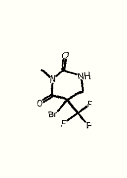 CN1C(=O)NCC(Br)(C(F)(F)F)C1=O